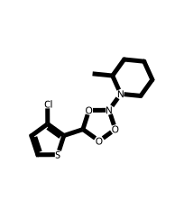 CC1CCCCN1N1OOC(c2sccc2Cl)O1